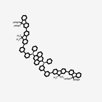 CCCCCCCC1(CCCCCCC)c2ccccc2-c2ccc(-c3ccc4c(c3)C(C)(C)c3cc(-c5cccc(-c6cccc(N(c7ccccc7)c7cc8cccc9c(N(c%10ccccc%10)c%10cccc(-c%11cccc(-c%12ccc%13c(c%12)C(C)(C)c%12cc(-c%14ccc%15c(c%14)C(CCCCCCC)(CCCCCCC)c%14ccccc%14-%15)ccc%12-%13)c%11)c%10)cc%10cccc7c%10c89)c6)c5)ccc3-4)cc21